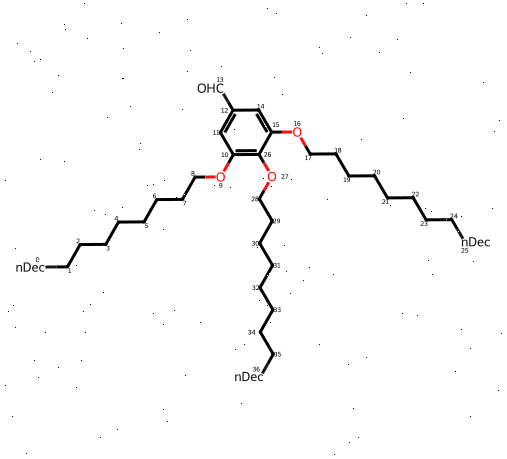 CCCCCCCCCCCCCCCCCCOc1cc(C=O)cc(OCCCCCCCCCCCCCCCCCC)c1OCCCCCCCCCCCCCCCCCC